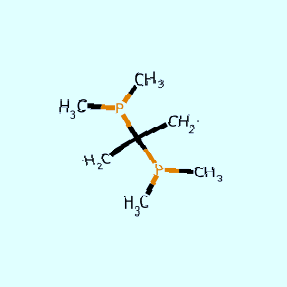 [CH2]C([CH2])(P(C)C)P(C)C